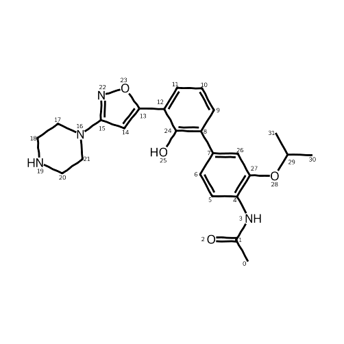 CC(=O)Nc1ccc(-c2cccc(-c3cc(N4CCNCC4)no3)c2O)cc1OC(C)C